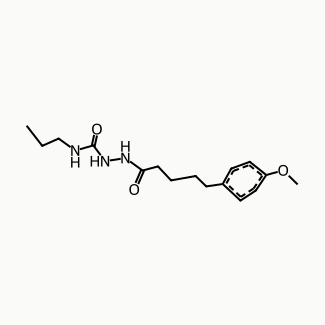 CCCNC(=O)NNC(=O)CCCCc1ccc(OC)cc1